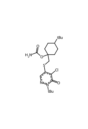 CC(C)(C)C1CCC(CSc2cnn(C(C)(C)C)c(=O)c2Cl)(OC(N)=O)CC1